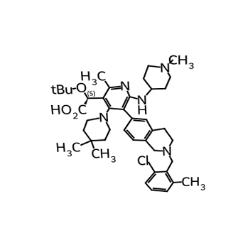 Cc1cccc(Cl)c1CN1CCc2cc(-c3c(NC4CCN(C)CC4)nc(C)c([C@H](OC(C)(C)C)C(=O)O)c3N3CCC(C)(C)CC3)ccc2C1